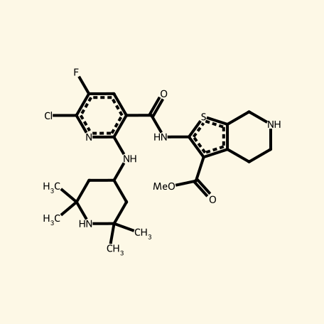 COC(=O)c1c(NC(=O)c2cc(F)c(Cl)nc2NC2CC(C)(C)NC(C)(C)C2)sc2c1CCNC2